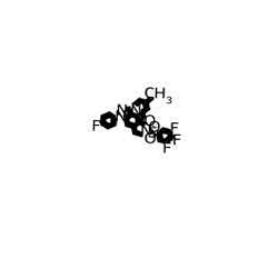 CCc1ccnc(C(=O)[C@]23Cc4cnn(-c5ccc(F)cc5)c4C=C2CCN(S(=O)(=O)c2cc(F)c(F)c(F)c2)C3)c1